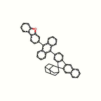 c1ccc2cc3c(cc2c1)-c1ccc(-c2c4ccccc4c(-c4ccc5c(c4)oc4ccccc45)c4ccccc24)cc1C31C2CC3CC(C2)CC1C3